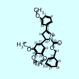 COc1cccc(C2=NN(C(=O)OCc3ccccc3)C(c3cc(OC)c(OC)c(OC)c3)C2)c1